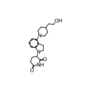 O=C1CCC(N2CCc3c(N4CCC(CCO)CC4)cccc32)C(=O)N1